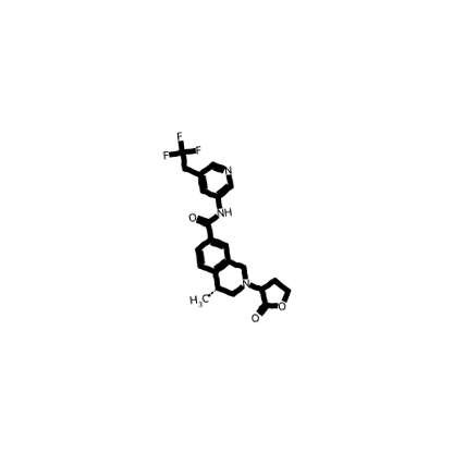 C[C@H]1CN(C2CCOC2=O)Cc2cc(C(=O)Nc3cncc(CC(F)(F)F)c3)ccc21